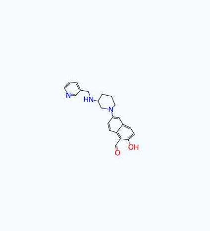 O=Cc1c(O)ccc2cc(N3CCCC(NCc4cccnc4)C3)ccc12